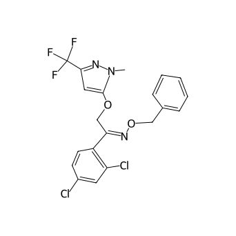 Cn1nc(C(F)(F)F)cc1OC/C(=N\OCc1ccccc1)c1ccc(Cl)cc1Cl